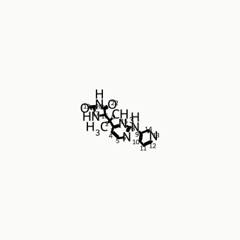 CC(C)(c1ccnc(Nc2cccnc2)n1)C1NC(=O)NC1=O